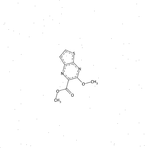 COC(=O)c1nc2ccsc2nc1OC